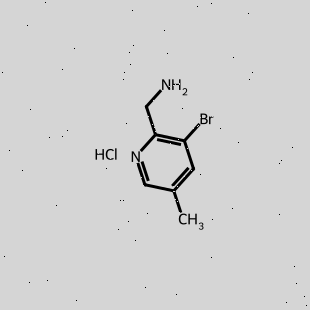 Cc1cnc(CN)c(Br)c1.Cl